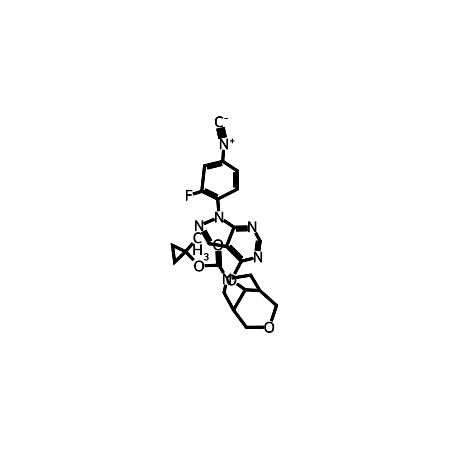 [C-]#[N+]c1ccc(-n2ncc3c(OC4C5COCC4CN(C(=O)OC4(C)CC4)C5)ncnc32)c(F)c1